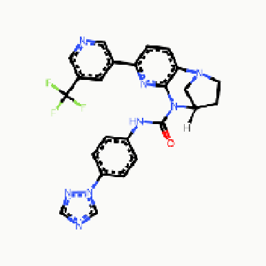 O=C(Nc1ccc(-n2cncn2)cc1)N1c2nc(-c3cncc(C(F)(F)F)c3)ccc2N2CC[C@H]1C2